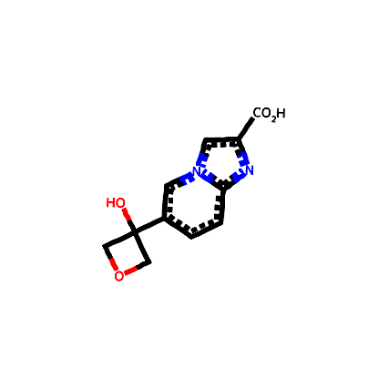 O=C(O)c1cn2cc(C3(O)COC3)ccc2n1